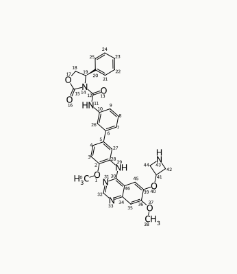 COc1ccc(-c2cccc(NC(=O)N3C(=O)OC[C@H]3c3ccccc3)c2)cc1Nc1ncnc2cc(OC)c(OC3CNC3)cc12